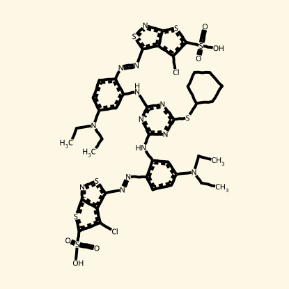 CCN(CC)c1ccc(/N=N/c2snc3sc(S(=O)(=O)O)c(Cl)c23)c(Nc2nc(Nc3cc(N(CC)CC)ccc3/N=N/c3snc4sc(S(=O)(=O)O)c(Cl)c34)nc(SC3CCCCC3)n2)c1